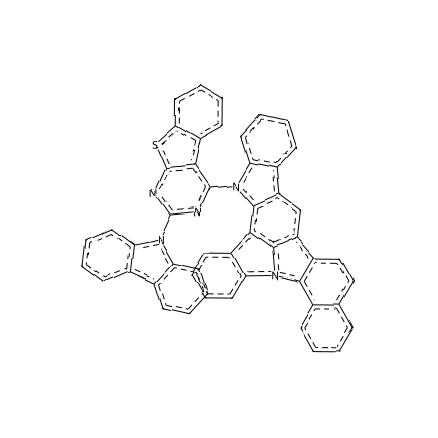 c1ccc2c(c1)ccc1c3cc4c5ccccc5n(-c5nc(-n6c7ccccc7c7ccccc76)nc6sc7ccccc7c56)c4c4c5ccccc5n(c21)c34